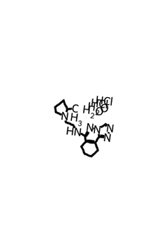 CC1CCCN1CCNc1nn2cnnc2c2c1CCCC2.Cl.Cl.O.O